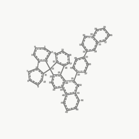 c1ccc2c(c1)-c1ccccc1C21c2ccccc2-c2c1ccc1c2c(-c2ccc(-c3ccc4ccccc4c3)cc2)nc2ccccc21